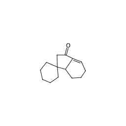 O=C1CC2(CCCCC2)C2CCCC=C12